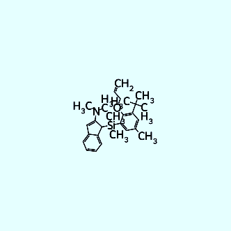 C=CCOc1c(C(C)(C)C)cc(C)cc1[Si](C)(C)C1C(N(C)C)=Cc2ccccc21